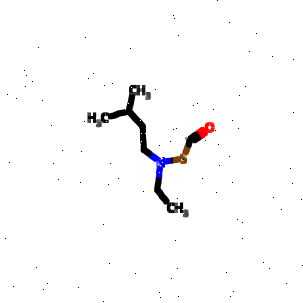 CCN(CCC(C)C)S[C]=O